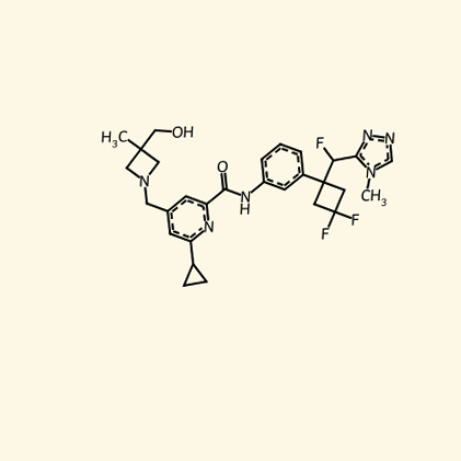 Cn1cnnc1C(F)C1(c2cccc(NC(=O)c3cc(CN4CC(C)(CO)C4)cc(C4CC4)n3)c2)CC(F)(F)C1